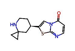 O=c1ccnc2sc([C@@H]3CCNC4(CC4)C3)cn12